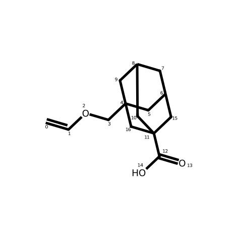 C=COCC12CC3CC(C1)CC(C(=O)O)(C3)C2